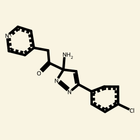 NC1(C(=O)Cc2ccncc2)C=C(c2ccc(Cl)cc2)N=N1